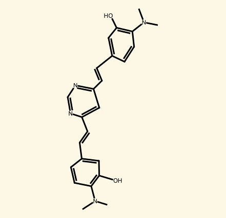 CN(C)c1ccc(/C=C/c2cc(/C=C/c3ccc(N(C)C)c(O)c3)ncn2)cc1O